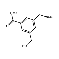 CNCc1cc(CO)cc(C(=O)OC)c1